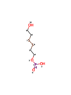 O=[PH](O)OCCSSCCO